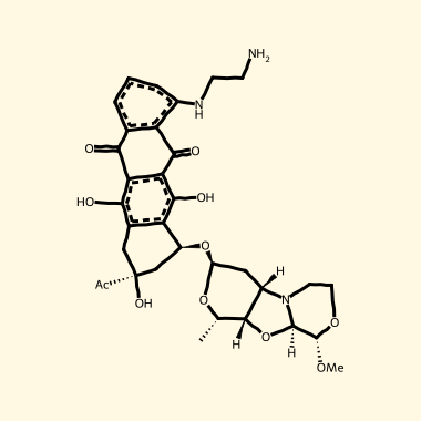 CO[C@H]1OCCN2[C@@H]1O[C@@H]1[C@H](C)O[C@@H](O[C@H]3C[C@](O)(C(C)=O)Cc4c(O)c5c(c(O)c43)C(=O)c3c(NCCN)cccc3C5=O)C[C@@H]12